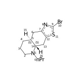 CCCN1CCC[C@H]2Cc3nc(Br)sc3C[C@@H]21